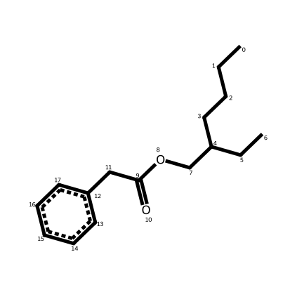 CCCCC(CC)COC(=O)Cc1ccccc1